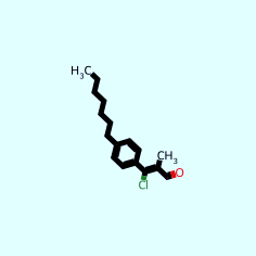 CCCCCCCc1ccc(/C(Cl)=C(\C)C=O)cc1